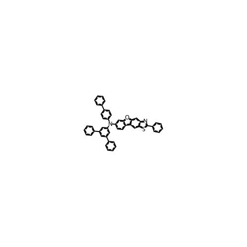 c1ccc(-c2ccc(N(c3cc(-c4ccccc4)cc(-c4ccccc4)c3)c3ccc4c(c3)oc3cc5nc(-c6ccccc6)sc5cc34)cc2)cc1